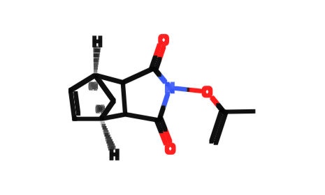 C=C(C)ON1C(=O)C2C(C1=O)[C@H]1C=C[C@@H]2C1